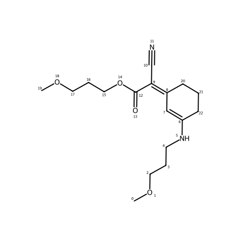 COCCCNC1=C/C(=C(/C#N)C(=O)OCCCOC)CCC1